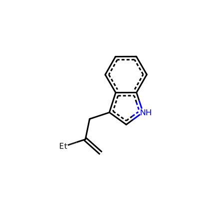 C=C(CC)Cc1c[nH]c2ccccc12